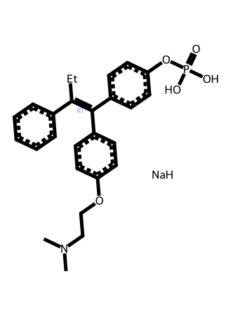 CC/C(=C(/c1ccc(OCCN(C)C)cc1)c1ccc(OP(=O)(O)O)cc1)c1ccccc1.[NaH]